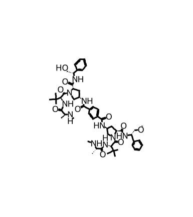 CN[C@@H](C)C(=O)N[C@H](C(=O)N1C[C@@H](NC(=O)c2ccc(C(=O)N[C@H]3C[C@@H](C(=O)N[C@H](COC)c4ccccc4)N(C(=O)[C@@H](NC(=O)[C@H](C)NC)C(C)(C)C)C3)cc2)C[C@H]1C(=O)N[C@H](CO)c1ccccc1)C(C)(C)C